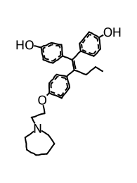 CCCC(=C(c1ccc(O)cc1)c1ccc(O)cc1)c1ccc(OCCN2CCCCCC2)cc1